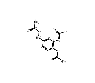 CC(=O)Oc1ccc(NCC(N)=O)cc1OC(C)=O